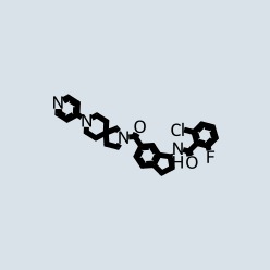 O=C(N[C@@H]1CCc2ccc(C(=O)N3CCC4(CCN(c5ccncc5)CC4)C3)cc21)c1c(F)cccc1Cl